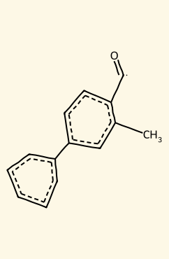 Cc1cc(-c2ccccc2)ccc1[C]=O